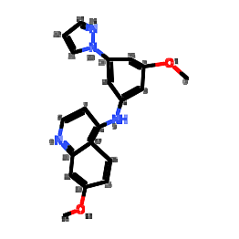 COc1cc(Nc2ccnc3cc(OC)ccc23)cc(-n2cccn2)c1